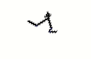 CCCCC/C=C\C/C=C\CCCCCCCCC1(CCCCCCCC/C=C\CCCCCCCC)C[C@H]2CC(C)C[C@H]2O1